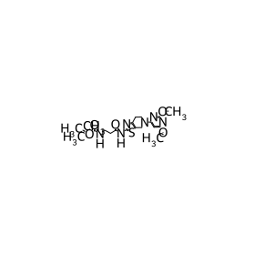 COc1cc(N2CCc3nc(NC(=O)CCNC(=O)OC(C)(C)C)sc3C2)nc(OC)n1